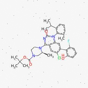 Cc1cccc(C(C)C)c1-n1c(=O)nc(N2CCN(C(=O)OC(C)(C)C)C[C@@H]2C)c2cc(Cl)c(-c3c(O)cccc3F)cc21